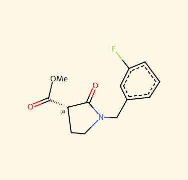 COC(=O)[C@H]1CCN(Cc2cccc(F)c2)C1=O